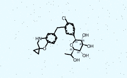 CC(O)[C@H]1O[C@@H](c2ccc(Cl)c(Cc3ccc4c(c3)NCC3(CC3)O4)c2)[C@H](O)[C@@H](O)[C@@H]1O